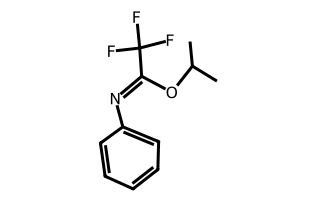 CC(C)OC(=Nc1ccccc1)C(F)(F)F